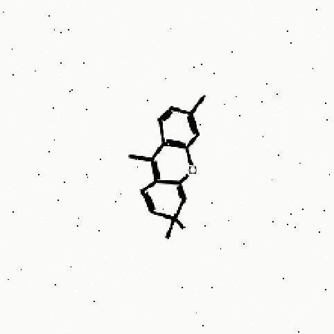 CC1=C2C=CC(C)(C)C=C2Oc2cc(C)ccc21